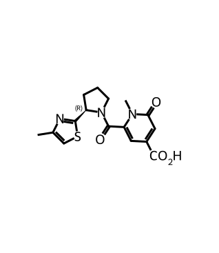 Cc1csc([C@H]2CCCN2C(=O)c2cc(C(=O)O)cc(=O)n2C)n1